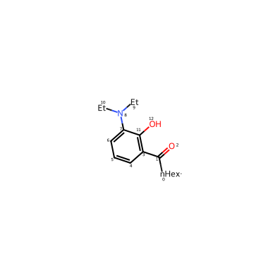 CCCCC[CH]C(=O)c1cccc(N(CC)CC)c1O